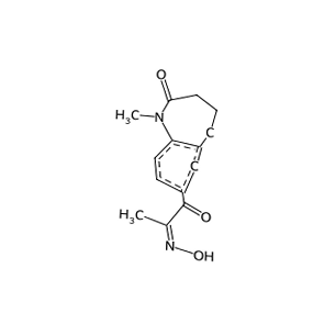 C/C(=N/O)C(=O)c1ccc2c(c1)CCCC(=O)N2C